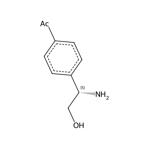 CC(=O)c1ccc([C@H](N)CO)cc1